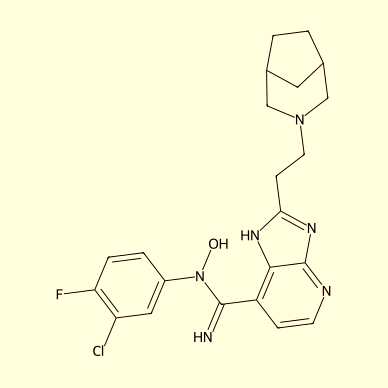 N=C(c1ccnc2nc(CCN3CC4CCC(C4)C3)[nH]c12)N(O)c1ccc(F)c(Cl)c1